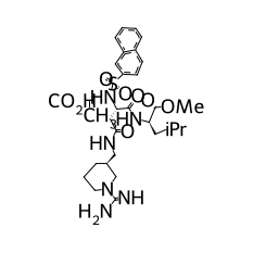 CC(=O)O.COC(=O)[C@@H](CC(C)C)NC(=O)[C@H](CC(=O)NC[C@@H]1CCCN(C(=N)N)C1)NS(=O)(=O)c1ccc2ccccc2c1